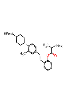 CCCCCCC(C)C(=O)Oc1ccccc1CCc1ccc([C@H]2CC[C@H](CCCCC)CC2)c(C)c1